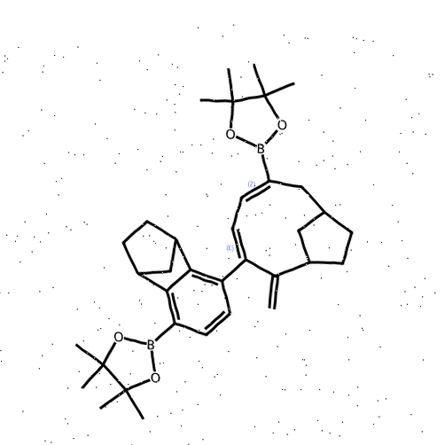 C=C1/C(c2ccc(B3OC(C)(C)C(C)(C)O3)c3c2C2CCC3C2)=C\C=C(\B2OC(C)(C)C(C)(C)O2)CC2CCC1C2